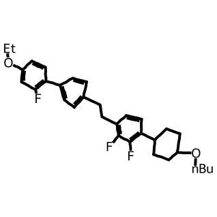 CCCCOC1CCC(c2ccc(CCc3ccc(-c4ccc(OCC)cc4F)cc3)c(F)c2F)CC1